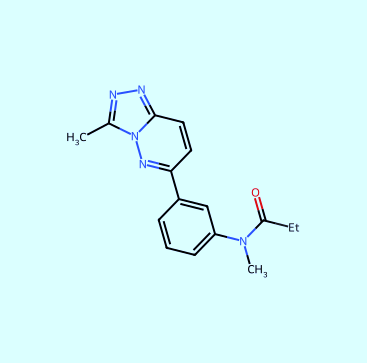 CCC(=O)N(C)c1cccc(-c2ccc3nnc(C)n3n2)c1